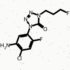 Nc1cc(-n2nnn(CCCF)c2=O)c(F)cc1Cl